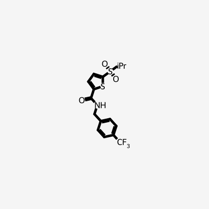 CC(C)S(=O)(=O)c1ccc(C(=O)NCc2ccc(C(F)(F)F)cc2)s1